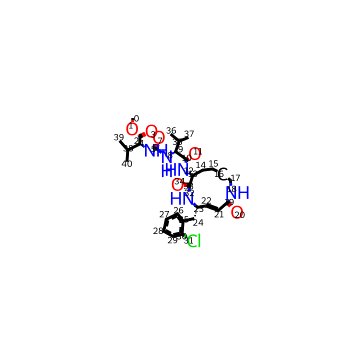 COC(=O)[C@@H](NC(=O)N[C@H](C(=O)N[C@H]1CCCCNC(=O)/C=C/[C@H](Cc2ccccc2Cl)NC1=O)C(C)C)C(C)C